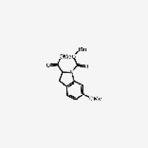 COC(=O)C1Cc2ccc(OC)cc2N1C(=O)OC(C)(C)C